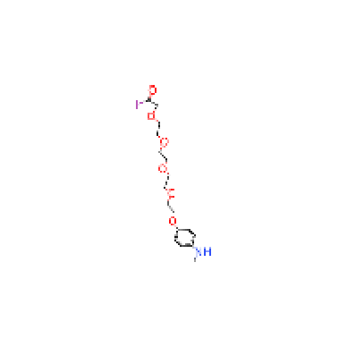 CNc1ccc(OCCOCCOCCOCCOCC(=O)I)cc1